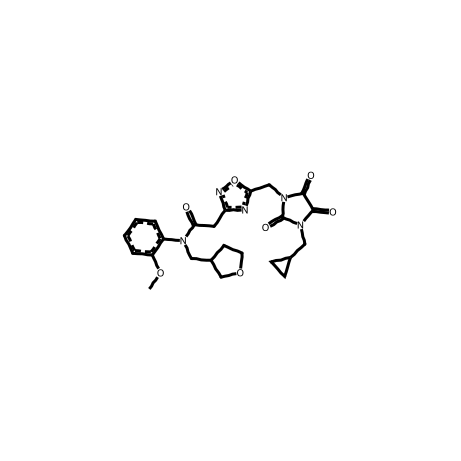 COc1ccccc1N(CC1CCOC1)C(=O)Cc1noc(CN2C(=O)C(=O)N(CC3CC3)C2=O)n1